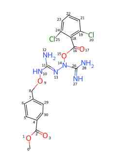 COC(=O)c1ccc(CONC(N)=NN(OC(=O)c2c(Cl)cccc2Cl)C(=N)N)cc1